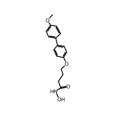 COc1ccc(-c2ccc(OCCCC(=O)NO)cc2)cc1